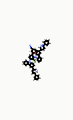 N#Cc1cccc(-c2ccc(-n3c4ccccc4c4cc(-c5ccc(-c6ccccc6)nc5)ccc43)c(C(F)(F)F)c2-n2c3ccccc3c3cc(-c4ccc(-c5ccccc5)nc4)ccc32)c1